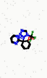 OC1C=CC=CC1(c1ncccn1)N1NN=CN1C(F)(F)F